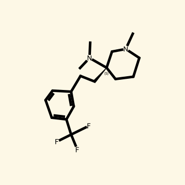 CN1CCC[C@](CCc2cccc(C(F)(F)F)c2)(N(C)C)C1